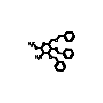 COC1OC(COCc2ccccc2)C(OCc2ccccc2)C(OCc2ccccc2)C1N